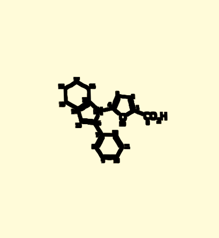 O=C(O)c1ccc(-n2c(-c3ccccc3)cc3c2CCCC3)o1